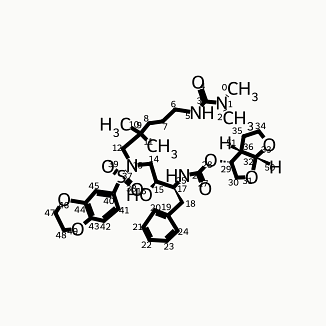 CN(C)C(=O)NCCCC(C)(C)CN(C[C@H](O)[C@H](Cc1ccccc1)NC(=O)O[C@H]1CO[C@H]2OCC[C@H]21)S(=O)(=O)c1ccc2c(c1)OCCO2